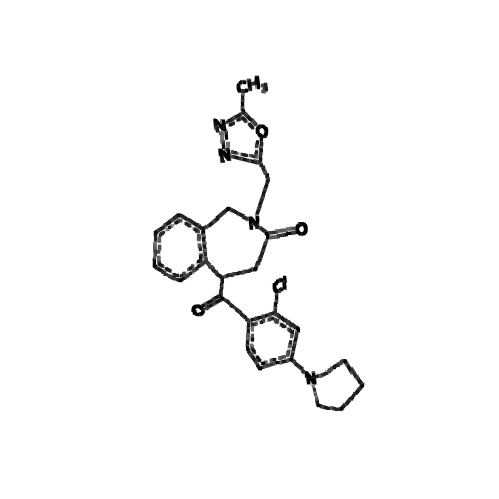 Cc1nnc(CN2Cc3ccccc3C(C(=O)c3ccc(N4CCCC4)cc3Cl)CC2=O)o1